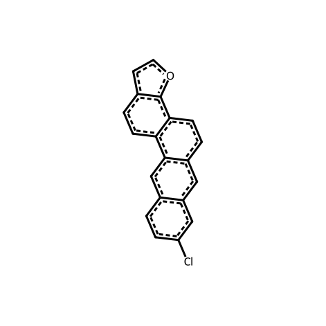 Clc1ccc2cc3c(ccc4c3ccc3ccoc34)cc2c1